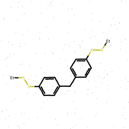 CCSSc1ccc(Cc2ccc(SSCC)cc2)cc1